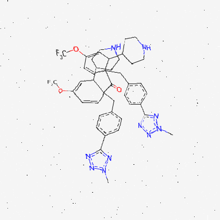 Cn1nnc(-c2ccc(CC3(C(=O)C4(Cc5ccc(-c6nnn(C)n6)cc5)C=CC(OC(F)(F)F)=CC4C4CCNCC4)C=CC(OC(F)(F)F)=CC3C3CCNCC3)cc2)n1